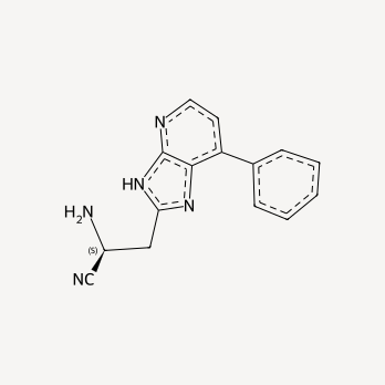 N#C[C@@H](N)Cc1nc2c(-c3ccccc3)ccnc2[nH]1